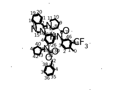 Cc1ccc(NC(=O)[C@H]2CCCN(c3ncnc4ccccc34)[C@H]2c2ccc(N(C(=O)OCc3ccccc3)C3CCCC3)cc2)cc1C(F)(F)F